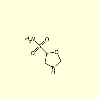 NS(=O)(=O)C1CNCO1